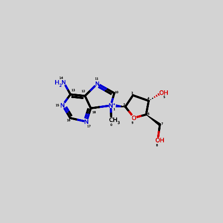 C[N+]1([C@H]2C[C@H](O)[C@@H](CO)O2)C=Nc2c(N)ncnc21